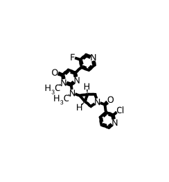 CN(c1nc(-c2ccncc2F)cc(=O)n1C)C1[C@H]2CN(C(=O)c3cccnc3Cl)C[C@@H]12